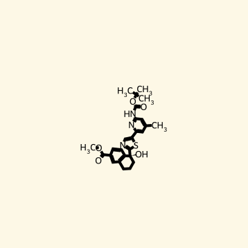 COC(=O)c1ccc2c(c1)CCC[C@]2(O)c1ncc(-c2cc(C)cc(NC(=O)OC(C)(C)C)n2)s1